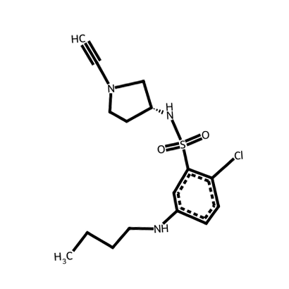 C#CN1CC[C@@H](NS(=O)(=O)c2cc(NCCCC)ccc2Cl)C1